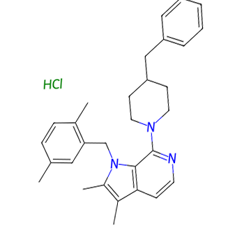 Cc1ccc(C)c(Cn2c(C)c(C)c3ccnc(N4CCC(Cc5ccccc5)CC4)c32)c1.Cl